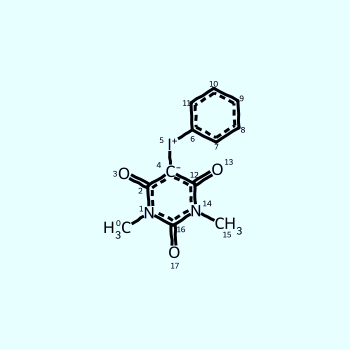 Cn1c(=O)[c-]([I+]c2ccccc2)c(=O)n(C)c1=O